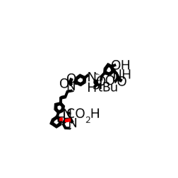 CC(C)(C)[Si](C)(C)O[C@H](CNCc1ccc2c(c1)oc(=O)n2CC/C=C/c1ccc(-c2ccccc2)c(N(C(=O)O)[C@H]2CN3CCC2CC3)c1)c1ccc(O)c2c1OCC(=O)N2